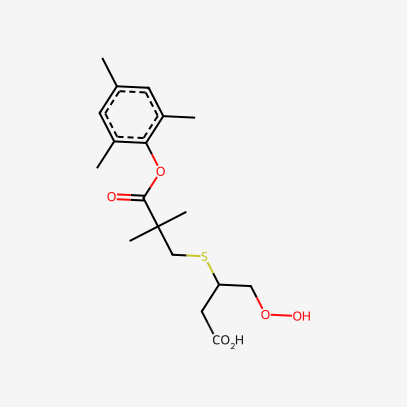 Cc1cc(C)c(OC(=O)C(C)(C)CSC(COO)CC(=O)O)c(C)c1